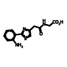 Nc1ccccc1-c1nc(CC(=O)NCC(=O)O)cs1